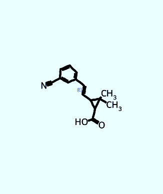 CC1(C)C(/C=C/c2cccc(C#N)c2)C1C(=O)O